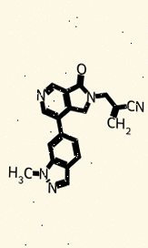 C=C(C#N)CN1Cc2c(cncc2-c2ccc3cnn(C)c3c2)C1=O